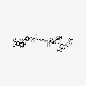 COc1cc2ncnc(Nc3ccc(CC(=O)NCCCCCCNC(=O)CN(CCN(CCN(C)CC(=O)O)CC(=O)O)CC(=O)O)cc3)c2cc1OC